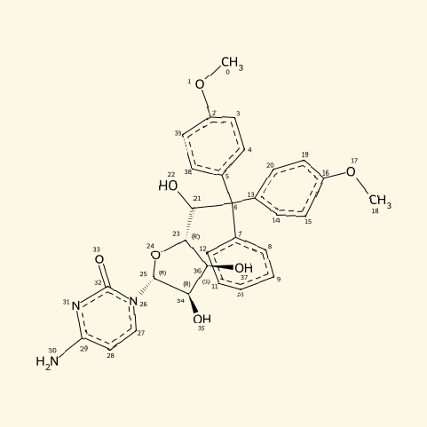 COc1ccc(C(c2ccccc2)(c2ccc(OC)cc2)C(O)[C@H]2O[C@@H](n3ccc(N)nc3=O)[C@H](O)[C@@H]2O)cc1